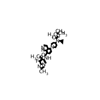 COc1c(NC(=O)c2ccc(N3CCC(N(C(=O)OC(C)(C)C)C4CC4)CC3)c3ccnnc23)cn2cc(C)nc2c1F